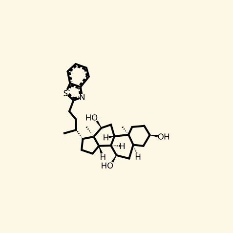 CC(CCc1nc2ccccc2s1)[C@H]1CC[C@H]2[C@@H]3[C@H](O)C[C@@H]4C[C@H](O)CC[C@]4(C)[C@H]3C[C@H](O)[C@]12C